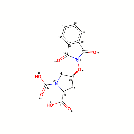 O=C(O)[C@H]1C[C@H](ON2C(=O)c3ccccc3C2=O)CN1C(=O)O